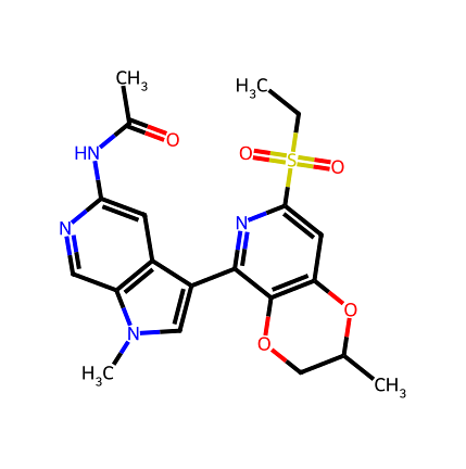 CCS(=O)(=O)c1cc2c(c(-c3cn(C)c4cnc(NC(C)=O)cc34)n1)OCC(C)O2